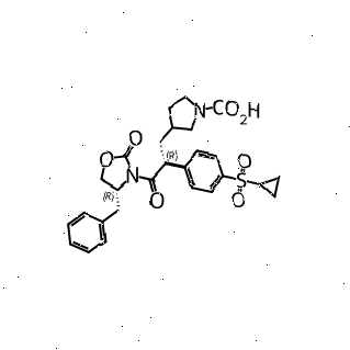 O=C(O)N1CCC(C[C@@H](C(=O)N2C(=O)OC[C@H]2Cc2ccccc2)c2ccc(S(=O)(=O)C3CC3)cc2)C1